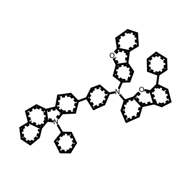 c1ccc(-c2cccc3c2oc2c(N(c4ccc(-c5ccc6c7ccc8ccccc8c7n(-c7ccccc7)c6c5)cc4)c4ccc5c(c4)oc4ccccc45)cccc23)cc1